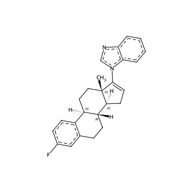 C[C@]12CC[C@@H]3c4ccc(F)cc4CC[C@H]3[C@@H]1CC=C2n1cnc2ccccc21